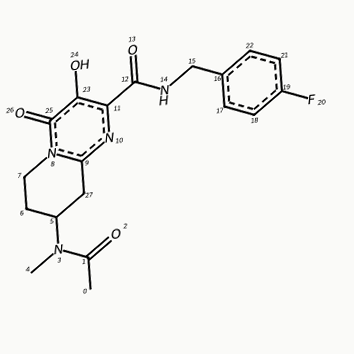 CC(=O)N(C)C1CCn2c(nc(C(=O)NCc3ccc(F)cc3)c(O)c2=O)C1